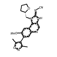 COc1cc2c(cc1-c1c(C)noc1C)ncc1[nH]c(=NC#N)n(C[C@@H]3CCCO3)c12